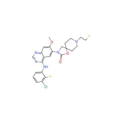 COc1cc2ncnc(Nc3cccc(Cl)c3F)c2cc1N1CC2(CCN(CCF)CC2)OC1=O